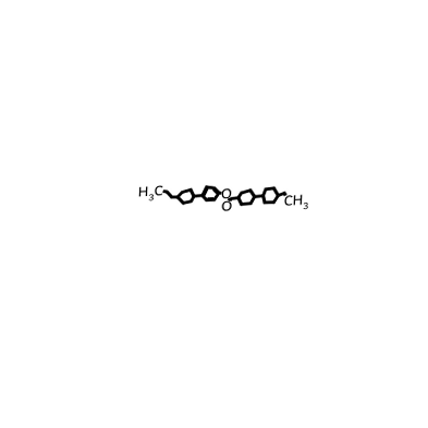 CCCC1CCC(c2ccc(OC(=O)C3CCC(C4CCC(CC)CC4)CC3)cc2)CC1